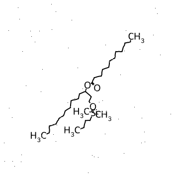 CCCCCCCCCCCC(=O)OC(CCCCCCCCCCC)CCO[Si](C)(C)CCCC